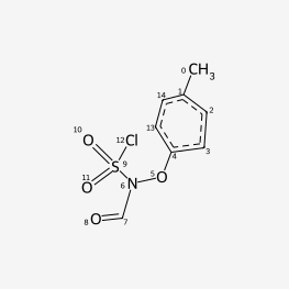 Cc1ccc(ON(C=O)S(=O)(=O)Cl)cc1